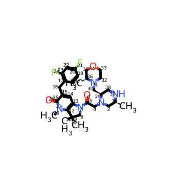 C[C@@H]1CN(CC(=O)N2CC(C)(C)c3c2cc(Cc2ccc(F)cc2F)c(=O)n3C)[C@@H](CN2CCOC[C@H]2C)CN1